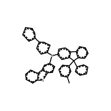 Cc1cccc(C2(c3ccccc3)c3ccccc3-c3ccc(N(c4ccc(-c5ccccc5)cc4)c4ccc5sc6ccccc6c5c4)cc32)c1